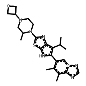 Cc1c(-c2[nH]c3sc(N4CCN(C5COC5)CC4C)nc3c2C(C)C)cn2ncnc2c1C